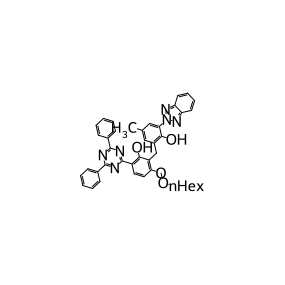 CCCCCCOOc1ccc(-c2nc(-c3ccccc3)nc(-c3ccccc3)n2)c(O)c1Cc1cc(C)cc(-n2nc3ccccc3n2)c1O